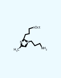 CCCCCCCCCCCc1nc(C)cn1CCCN